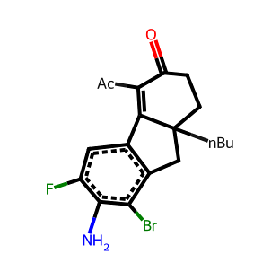 CCCCC12CCC(=O)C(C(C)=O)=C1c1cc(F)c(N)c(Br)c1C2